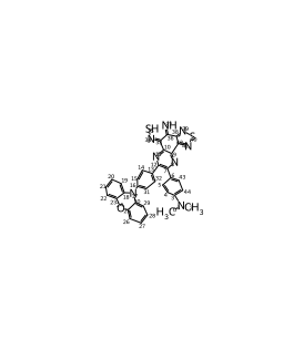 CN(C)c1ccc(-c2nc3c(nc2-c2ccc(N4c5ccccc5Oc5ccccc54)cc2)/C(=N/S)C(=N)c2nsnc2-3)cc1